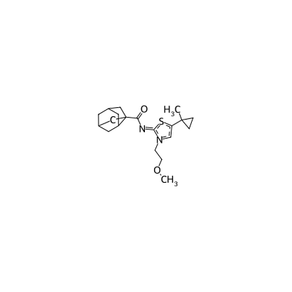 COCCn1cc(C2(C)CC2)s/c1=N\C(=O)C12CC3CC(CC1C3)C2